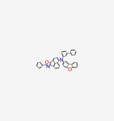 c1ccc(-c2cccc(N(c3ccc4oc5ccccc5c4c3)c3ccc4c5c(cccc35)-c3nc(-c5ccccc5)oc3-4)c2)cc1